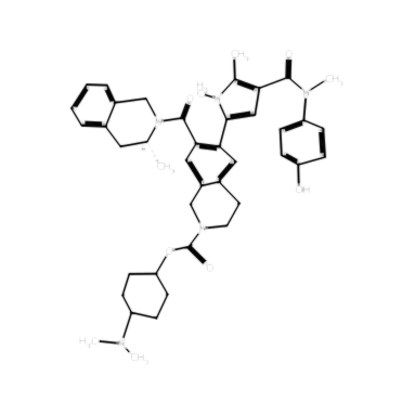 Cc1c(C(=O)N(C)c2ccc(O)cc2)cc(-c2cc3c(cc2C(=O)N2Cc4ccccc4C[C@H]2C)CN(C(=O)OC2CCC(N(C)C)CC2)CC3)n1C